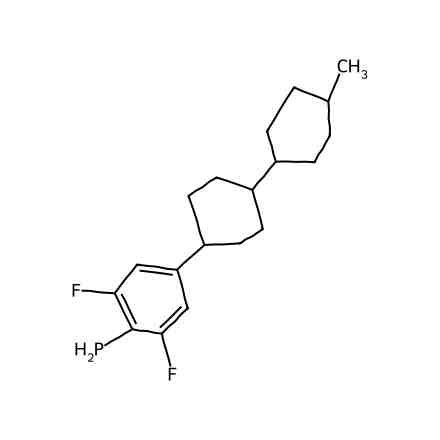 CC1CCC(C2CCC(c3cc(F)c(P)c(F)c3)CC2)CC1